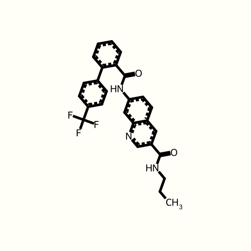 CCCNC(=O)c1cnc2cc(NC(=O)c3ccccc3-c3ccc(C(F)(F)F)cc3)ccc2c1